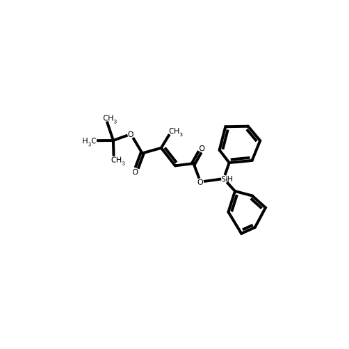 C/C(=C\C(=O)O[SiH](c1ccccc1)c1ccccc1)C(=O)OC(C)(C)C